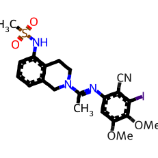 COc1cc(N=C(C)N2CCc3c(cccc3NS(C)(=O)=O)C2)c(C#N)c(I)c1OC